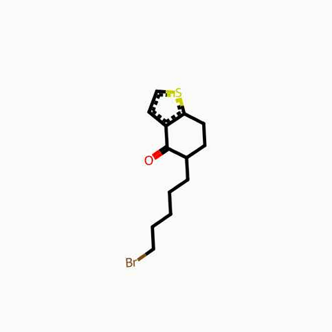 O=C1c2ccsc2CCC1CCCCCBr